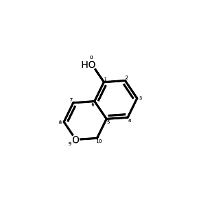 Oc1cccc2c1C=COC2